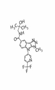 Cn1nnc2c3cc(C(=O)NCC(C)(C)O)ccc3n(-c3ccc(C(F)(F)F)nc3)c21